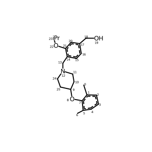 Cc1cccc(C)c1OC1CCN(Cc2ccc(CO)cc2OC(C)C)CC1